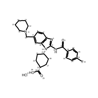 Cl.O=C(Nc1nc2ccc(CN3CCCCC3)cc2n1[C@H]1CC[C@@H](C(=O)O)CC1)c1ccc(F)cc1